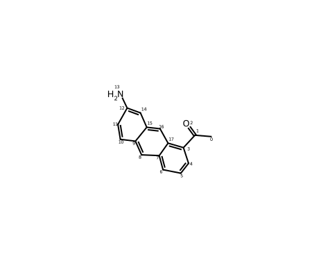 CC(=O)c1cccc2cc3ccc(N)cc3cc12